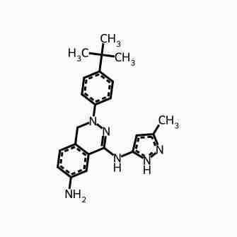 Cc1cc(NC2=NN(c3ccc(C(C)(C)C)cc3)Cc3ccc(N)cc32)[nH]n1